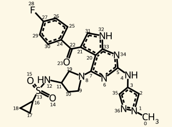 Cn1cc(Nc2nc(N3CCC(NS(=O)(=O)C4CC4)C3)c3c(C(=O)c4ccc(F)cc4)c[nH]c3n2)cn1